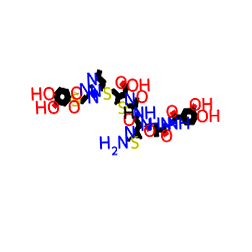 Cc1cc(SCC2=C(C(=O)O)N3C(=O)[C@@H](NC(=O)C(=NOC(C)(C)C(=O)NNC(=O)c4ccc(O)c(O)c4)c4csc(N)n4)[C@H]3SC2)n2nc(CS(=O)(=O)c3ccc(O)c(O)c3)nc2n1